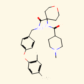 COc1ccc(Oc2ccc(CNC(=O)C3(NC(=O)C4CCN(C)CC4)CCOCC3)cc2)c(C(F)(F)F)c1